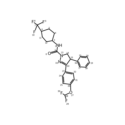 O=C(NC1CCC(C(F)(F)F)CC1)N1CC(c2ccccc2)C(c2ccc(OC(F)F)cc2)=N1